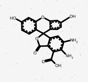 Nc1cc2c(c(C(=O)O)c1N)C(=O)OC21c2ccc(O)cc2Oc2cc(O)ccc21